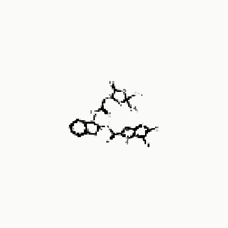 CC1(C)OC(=O)[C@@H](CC(=O)N[C@@H]2c3ccccc3C[C@H]2NC(=O)c2cc3sc(Cl)c(Cl)c3[nH]2)O1